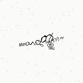 COCCCN1CCN(c2ccc(CC(C)(C)C[C@H](NC(=O)OC(C)(C)C)C(=O)O)cc2)C(=O)C1